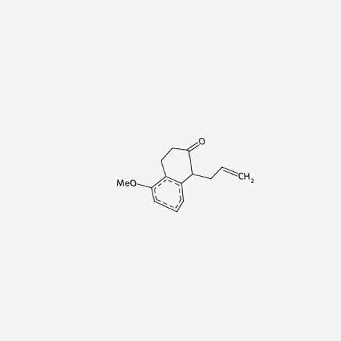 C=CCC1C(=O)CCc2c(OC)cccc21